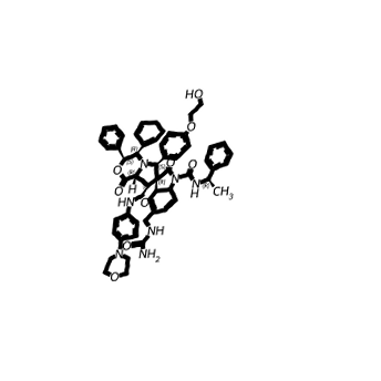 C[C@@H](NC(=O)N1C(=O)[C@@]2(C3C=C(CNC(N)=O)C=CC31)[C@H](c1ccc(OCCO)cc1)N1[C@H](C3=CCCC=C3)[C@H](c3ccccc3)OC(=O)[C@H]1[C@@H]2C(=O)Nc1ccc(N2CCOCC2)cc1)c1ccccc1